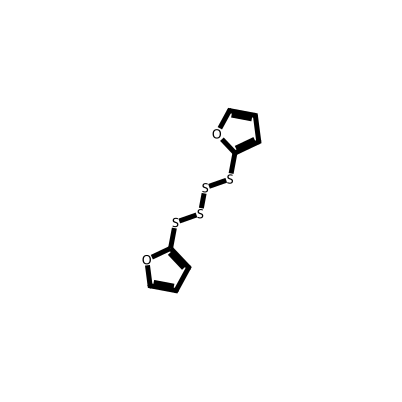 c1coc(SSSSc2ccco2)c1